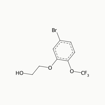 OCCOc1cc(Br)ccc1OC(F)(F)F